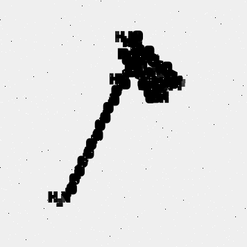 CC[C@@]1(O)C(=O)OCc2c1cc1n(c2=O)Cc2c-1nc1cc(F)c(C)c3c1c2[C@@H](NC(=O)OCc1ccc(NC(=O)[C@H](CCCNC(N)=O)NC(=O)[C@@H](NC(=O)[C@H](CCCCNC(=O)CCOCCOCCOCCOCCOCCOCCOCCOCCOCCOCCOCCOCCN)NC(=O)OCC2c4ccccc4-c4ccccc42)C(C)C)cc1)CC3